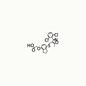 Cc1onc(-c2c(Cl)cccc2Cl)c1CSc1ccc(OCC(=O)O)c2c1CCC2